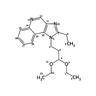 CCOC(CCn1c(CC)nc2cnc3ccccc3c21)OCC